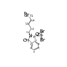 O=C1c2ccccc2C(=O)N1CCCCBr.[Br][Zn][Br]